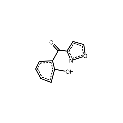 O=C(c1ccon1)c1ccccc1O